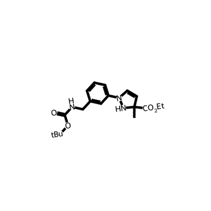 CCOC(=O)C1(C)C=CN(c2cccc(CNC(=O)OC(C)(C)C)c2)N1